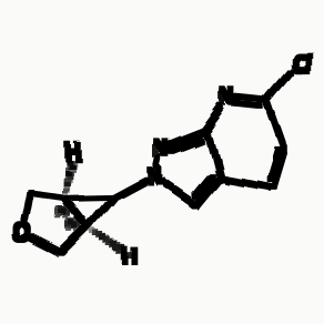 Clc1ccc2cn(C3[C@H]4COC[C@@H]34)nc2n1